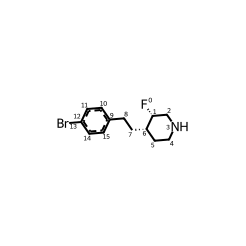 F[C@@H]1CNCC[C@@H]1CCc1ccc(Br)cc1